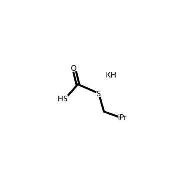 CC(C)CSC(=O)S.[KH]